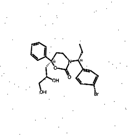 CC[C@@H](c1ccc(Br)cc1)N1CC[C@](CC(O)CO)(c2ccccc2)OC1=O